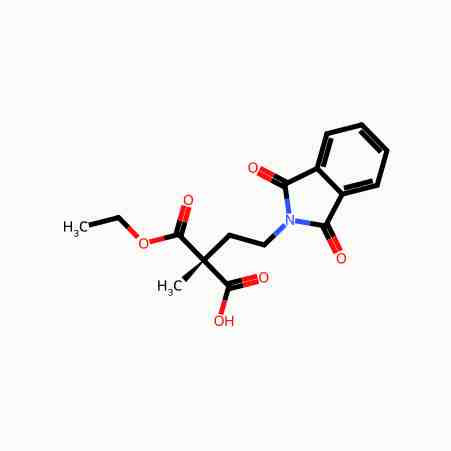 CCOC(=O)[C@](C)(CCN1C(=O)c2ccccc2C1=O)C(=O)O